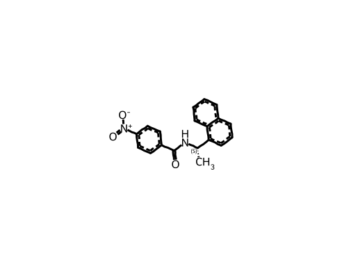 C[C@H](NC(=O)c1ccc([N+](=O)[O-])cc1)c1cccc2ccccc12